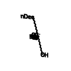 CCCCCCCCCCCCCCCCCCCCCCCCCCCCCCCCCCO.O=S(=O)([O-])[O-].[Na+].[Na+]